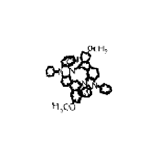 CCn1c2cc3c(ccc(N(c4ccccc4)c4ccccc4)c3n(CC)c3cc4c(ccc(N(c5ccccc5)c5ccccc5)c41)c1cc(OC)ccc13)c1cc(OC)ccc12